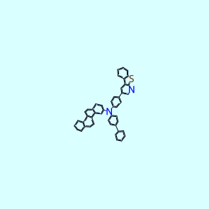 c1ccc(-c2ccc(N(c3ccc(-c4cnc5sc6ccccc6c5c4)cc3)c3ccc4ccc5c6ccccc6ccc5c4c3)cc2)cc1